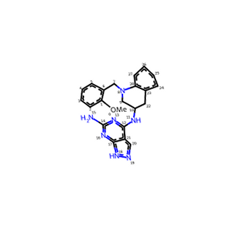 COc1ccccc1CN1CC(Nc2nc(N)nc3[nH]ncc23)Cc2ccccc21